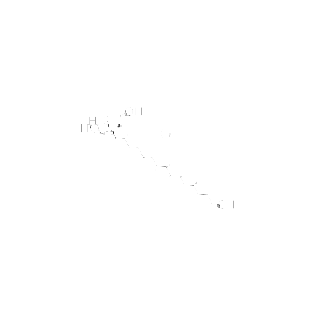 CCCCCCCCCCCCCCCC[N+](C)(CO)CCO.[Cl-]